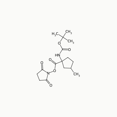 CC1CCC(NC(=O)OC(C)(C)C)(C(=O)ON2C(=O)CCC2=O)C1